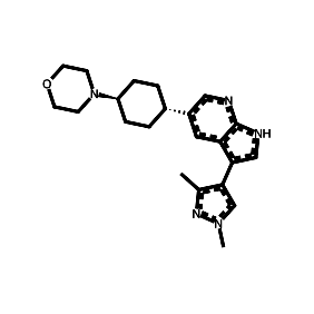 Cc1nn(C)cc1-c1c[nH]c2ncc([C@H]3CC[C@H](N4CCOCC4)CC3)cc12